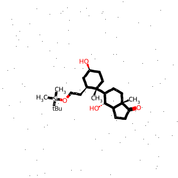 CC(C)(C)[Si](C)(C)OCC[C@H]1C[C@@H](O)CC[C@]1(C)C1CC[C@]2(C)C(=O)CCC2[C@@H]1O